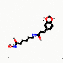 O=C(C=Cc1ccc2c(c1)OCO2)NCCCCCC(=O)NO